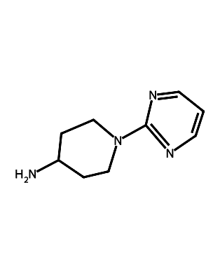 NC1CCN(c2ncccn2)CC1